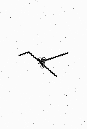 CCCCCCCC/C=C\CCCCCCCCCC(=O)O[C@H](COC(=O)CCCCCCCCCCCCCC)COC(=O)CCCCCCCCCCCCCCCCCCCC